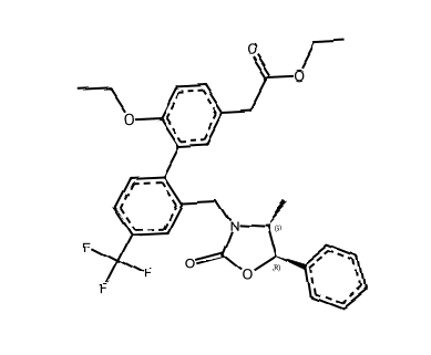 CCOC(=O)Cc1ccc(OCC)c(-c2ccc(C(F)(F)F)cc2CN2C(=O)O[C@H](c3ccccc3)[C@@H]2C)c1